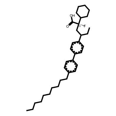 CCCCCCCCCCc1ccc(-c2ccc(C(CC)C[C@@](F)(C(=O)O)C3CCCCC3)cc2)cc1